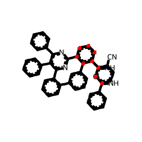 N#Cc1ccccc1-c1cccc(-c2nc(-c3ccccc3)c(-c3ccccc3)c(-c3ccccc3-c3cccc(-c4ccccc4C(=N)OC(=N)c4ccccc4)c3)n2)c1